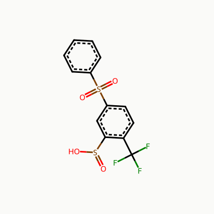 O=S(O)c1cc(S(=O)(=O)c2ccccc2)ccc1C(F)(F)F